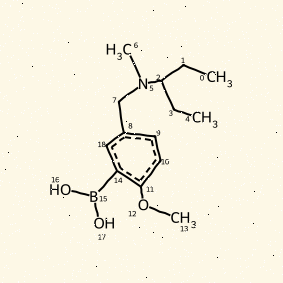 CCC(CC)N(C)Cc1ccc(OC)c(B(O)O)c1